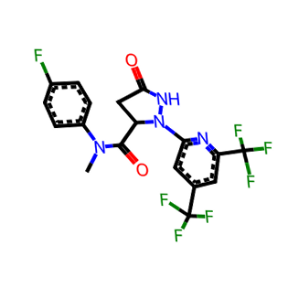 CN(C(=O)C1CC(=O)NN1c1cc(C(F)(F)F)cc(C(F)(F)F)n1)c1ccc(F)cc1